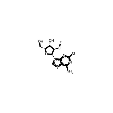 Nc1nc(Cl)nc2c1ncn2[C@@H]1O[C@H](CO)[C@H](O)[C@H]1OF